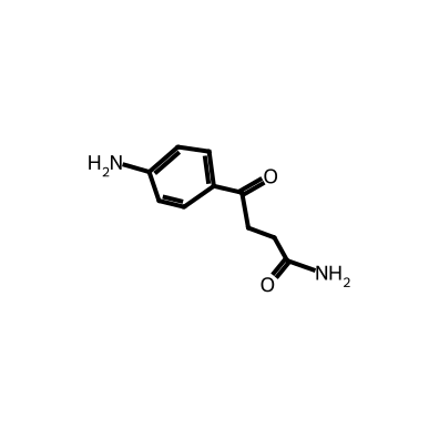 NC(=O)CCC(=O)c1ccc(N)cc1